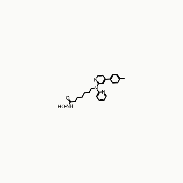 Cc1ccc(-c2ccnc(N(CCCCCCC(=O)NO)c3ccccn3)c2)cc1